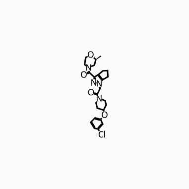 C[C@H]1CN(C(=O)c2nn(CC(=O)N3CCC(Oc4cccc(Cl)c4)CC3)c3c2CCC3)CCO1